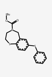 CC(C)(C)OC(=O)N1CCSc2ccc(Sc3ccccc3)cc2C1